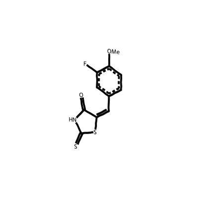 COc1ccc(C=C2SC(=S)NC2=O)cc1F